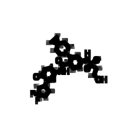 O=C(Nc1ccc(=O)n(C2CCC(F)(F)C2)n1)c1ccc(NS(=O)(=O)CCO)cc1N1CCC2(CC1)CC2